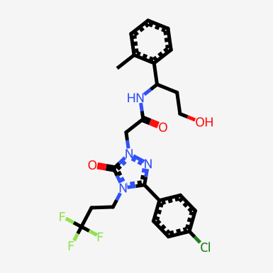 Cc1ccccc1C(CCO)NC(=O)Cn1nc(-c2ccc(Cl)cc2)n(CCC(F)(F)F)c1=O